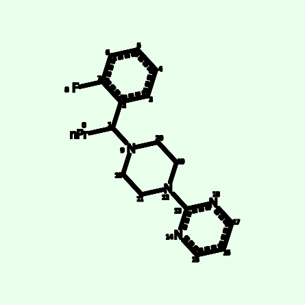 CCCC(c1ccccc1F)N1CCN(c2ncccn2)CC1